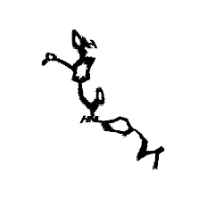 C=C(C)/C=C/[C@H]1CC[C@H](NC(=O)Cc2ccc(O)c(OC)c2)CC1